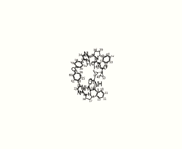 C=C([C@H](NC(=O)C1CC1)c1ccccc1)N1CCC[C@H]1c1ncc(-c2ccc(Oc3ccc(-c4cnc([C@@H]5CCCN5C(=O)[C@H](NC(=O)C5CC5)c5ccccc5)[nH]4)cc3)cc2)[nH]1